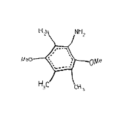 COc1c(C)c(C)c(OC)c(N)c1N